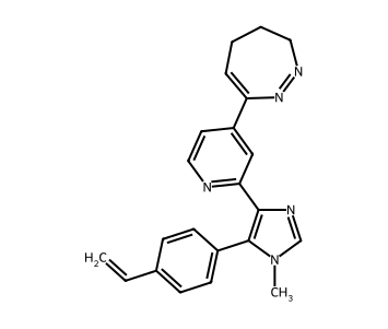 C=Cc1ccc(-c2c(-c3cc(C4=CCCCN=N4)ccn3)ncn2C)cc1